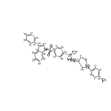 O=C(NC1CCN(c2ccc(F)cc2)C1)c1ccc(S(=O)(=O)n2cc(-c3ccccc3)c3ccccc32)cc1